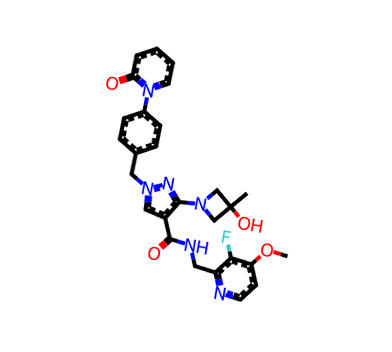 COc1ccnc(CNC(=O)c2cn(Cc3ccc(-n4ccccc4=O)cc3)nc2N2CC(C)(O)C2)c1F